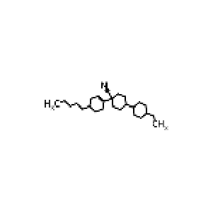 CCCCCC1CC=C(C2(C#N)CCC(C3CCC(CC)CC3)CC2)CC1